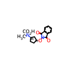 CN(C(=O)O)[C@@H]1CC[C@@H](ON2C(=O)c3ccccc3C2=O)C1